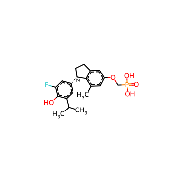 Cc1cc(OCP(=O)(O)O)cc2c1[C@H](c1cc(F)c(O)c(C(C)C)c1)CC2